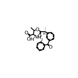 CC(OC(=O)[C@H](C)c1cccc(C(=O)c2ccccc2)c1)C(N)C(=O)O